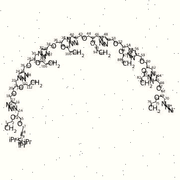 C=CCO[C@H](COCC#C[Si](C(C)C)(C(C)C)C(C)C)Cn1cc(COC[C@@H](Cn2cc(COC[C@@H](Cn3cc(COC[C@@H](Cn4cc(COC[C@@H](Cn5cc(COC[C@@H](Cn6cc(COC[C@@H](Cn7cc(COC[C@H](CN=[N+]=[N-])OCC=C)nn7)OCC=C)nn6)OCC=C)nn5)OCC=C)nn4)OCC=C)nn3)OCC=C)nn2)OCC=C)nn1